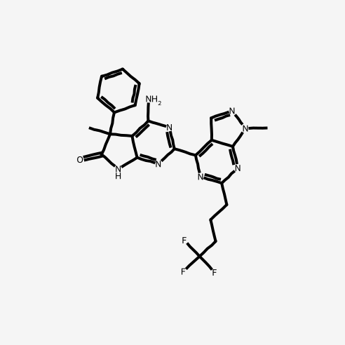 Cn1ncc2c(-c3nc(N)c4c(n3)NC(=O)C4(C)c3ccccc3)nc(CCCC(F)(F)F)nc21